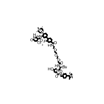 Cc1ncsc1-c1ccc(CNC(=O)[C@@H]2C[C@@H](O)CN2C(=O)[C@@H](NC(=O)COCCOCCOCCNC(=O)c2ccc(-c3ccc(N4C[C@@H](C)N(C)[C@@H](C)C4)c(NC(=O)c4c[nH]c(=O)cc4C(F)(F)F)c3)c(F)c2)C(C)(C)C)cc1